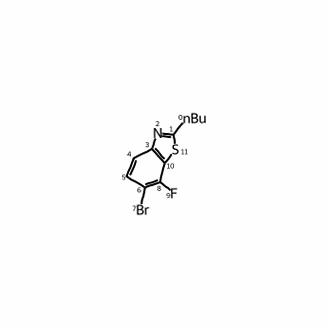 CCCCc1nc2ccc(Br)c(F)c2s1